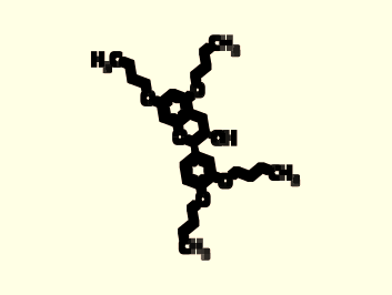 CCCCOc1cc(OCCCC)c2c(c1)O[C@H](c1ccc(OCCCC)c(OCCCC)c1)[C@@H](O)C2